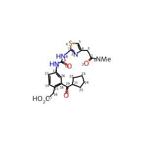 CNC(=O)Cc1csc(NC(=O)Nc2ccc(CC(=O)O)c(C(=O)C3CCCC3)c2)n1